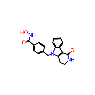 O=C(NO)c1ccc(Cn2c3c(c4ccccc42)C(=O)NCC3)cc1